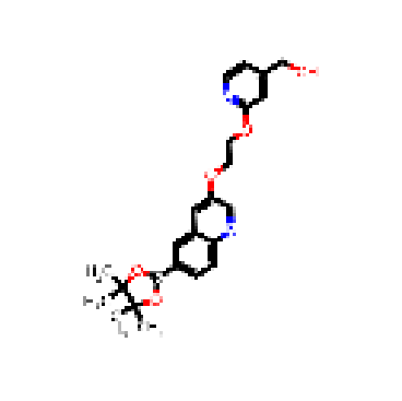 CC1(C)OB(c2ccc3ncc(OCCOc4cc(CO)ccn4)cc3c2)OC1(C)C